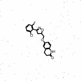 O=C1CCc2cc(OCC3CC(c4c(F)cccc4Cl)=NO3)ccc2N1